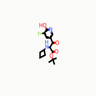 CC(C)(C)OC(=O)C(NC1CCC1)C(=O)c1cnc(O)c(F)c1